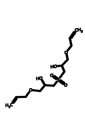 C=CCOCC(O)CS(=O)(=O)CC(O)COCC=C